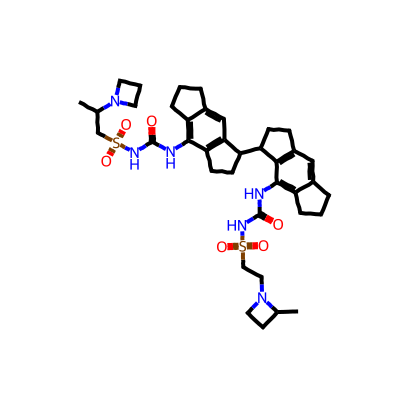 CC1CCN1CCS(=O)(=O)NC(=O)Nc1c2c(cc3c1C(C1CCc4c1cc1c(c4NC(=O)NS(=O)(=O)CC(C)N4CCC4)CCC1)CC3)CCC2